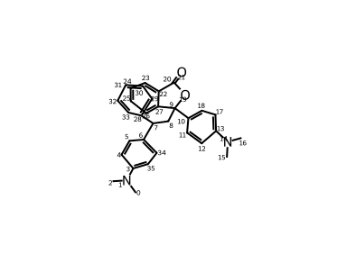 CN(C)c1ccc(C(CC2(c3ccc(N(C)C)cc3)OC(=O)c3ccccc32)c2ccccc2)cc1